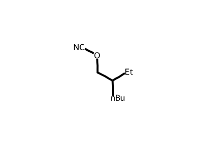 CCCCC(CC)COC#N